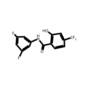 O=C(Nc1cc(F)cc(F)c1)c1ccc(C(F)(F)F)cc1O